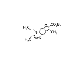 C=CCN(CC=C)c1cc2oc(C(=O)OCC)c(C)c2cc1NC